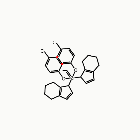 C[CH]=[Zr]([O]c1ccc(Cl)cc1)([O]c1ccc(Cl)cc1)([CH]1C=CC2=C1CCCC2)[CH]1C=CC2=C1CCCC2